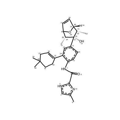 Cc1c[nH]c(C(=O)Nc2ccc([C@@]3(O)[C@H](C)C4C=C[C@@H](O4)[C@@H]3C)cc2C2=CCC(C)(C)CC2)n1